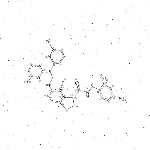 CCc1cccc(C(CNc2ncc3n(c2=O)[C@H](C(=O)NCc2ccc(N)nc2C)CC3)c2cccc(CC)n2)n1